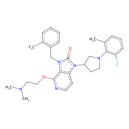 Cc1cccc(F)c1N1CCC(n2c(=O)n(Cc3ccccc3C(F)(F)F)c3c(OCCN(C)C)nccc32)C1